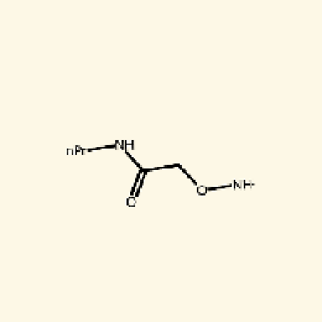 CCCNC(=O)CO[NH]